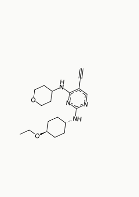 C#Cc1cnc(N[C@H]2CC[C@H](OCC)CC2)nc1NC1CCOCC1